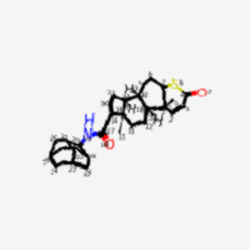 C[C@]12C=CC(=O)SC1CC[C@@H]1[C@H]2CC[C@]2(C)C(C(=O)NC3C4CC5CC(C4)CC3C5)CC[C@@H]12